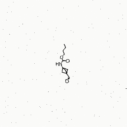 CCCCOC(=O)NC12CC(C=O)(C1)C2